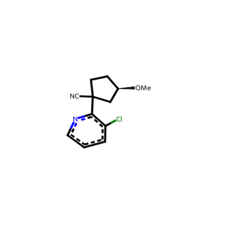 CO[C@@H]1CCC(C#N)(c2ncccc2Cl)C1